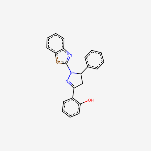 Oc1ccccc1C1=NN(c2nc3ccccc3s2)C(c2ccccc2)C1